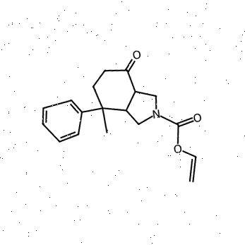 C=COC(=O)N1CC2C(=O)CCC(C)(c3ccccc3)C2C1